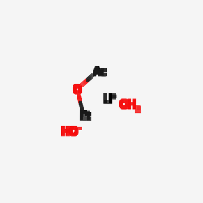 CCOC(C)=O.O.[Li+].[OH-]